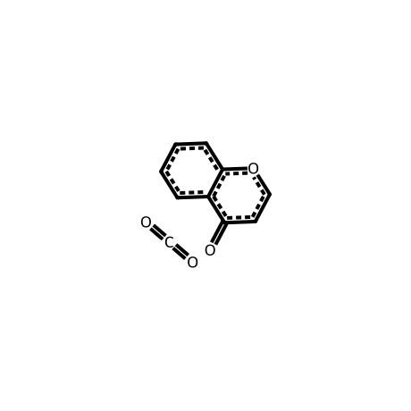 O=C=O.O=c1ccoc2ccccc12